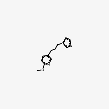 COc1ccc(CCCn2ccnc2)cn1